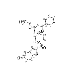 CCO[C@H]1C[C@@H](c2ccccc2)OC2(CCN(C(=O)c3cn4cc(Cl)ccc4n3)CC2)C1